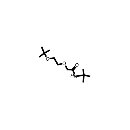 CC(C)(C)NC(=O)COCCOC(C)(C)C